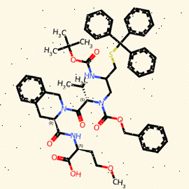 COCC[C@H](NC(=O)[C@H]1Cc2ccccc2CN1C(=O)[C@H](C(C)C)N(CC(CSC(c1ccccc1)(c1ccccc1)c1ccccc1)NC(=O)OC(C)(C)C)C(=O)OCc1ccccc1)C(=O)O